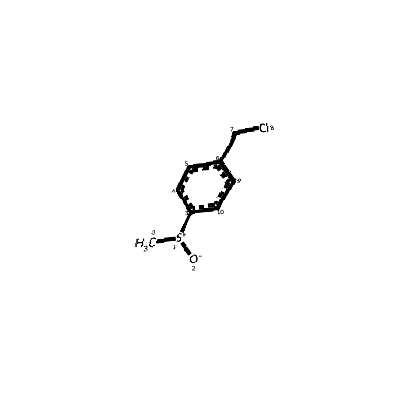 C[S+]([O-])c1ccc(CCl)cc1